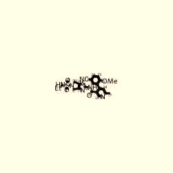 CCNS(=O)(=O)N1Cc2nc(NC(=O)c3cnc(C)cc3-c3cc(C#N)ccc3OC)sc2C1